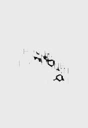 C=C[C@@H]1C[C@@]1(C(=O)NS(=O)(=O)c1ccc(NC(=O)Nc2cc(Cl)cc(Cl)c2)cc1)C(C)C